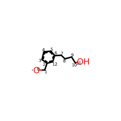 [O]Cc1cccc(CCCCO)c1